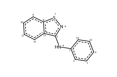 c1ccc(Nc2nsc3ccccc23)cc1